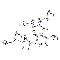 CCC(C)c1ccn(-c2ccc(C)c(O/C(=C\OC)C(=O)OC)c2)n1